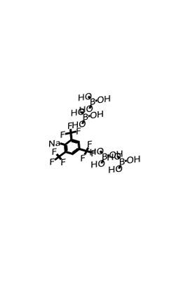 FC(F)(F)c1cc(C(F)(F)F)[c]([Na])c(C(F)(F)F)c1.OB(O)O.OB(O)O.OB(O)O.OB(O)O